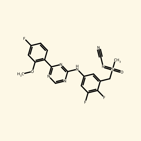 COc1cc(F)ccc1-c1ncnc(Nc2cc(F)c(F)c(CS(C)(=O)=NC#N)c2)n1